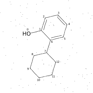 Oc1c[c]ccc1C1CCCCC1